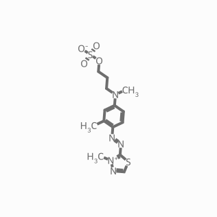 Cc1cc(N(C)CCCOS(=O)(=O)[O-])ccc1N=Nc1scn[n+]1C